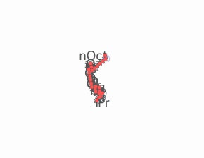 CCCCCCCC/C=C\CCCCCCCCOCC(CN1CCOCC1)OCCOCC(=O)O[C@H]1CC[C@@]2(C)C(=CC[C@H]3[C@@H]4CC[C@H]([C@H](C)CCCC(C)C)C4CC[C@@H]32)C1